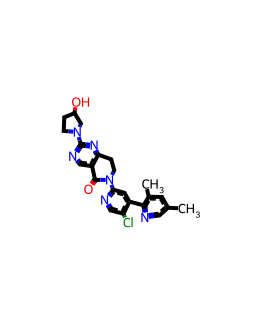 Cc1cnc(-c2cc(N3CCc4nc(N5CCC(O)C5)ncc4C3=O)ncc2Cl)c(C)c1